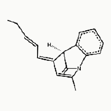 C=C1[C@H]2/C(=C\C=C\CC)C=C(C)N1c1ccccc12